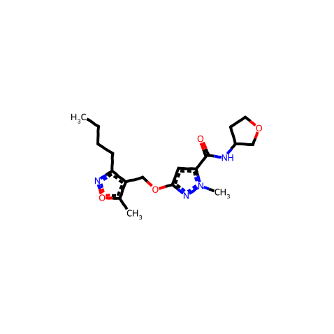 CCCCc1noc(C)c1COc1cc(C(=O)NC2CCOC2)n(C)n1